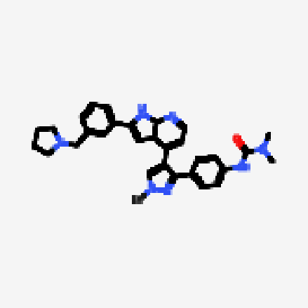 CCn1cc(C2=CC=NC3NC(c4cccc(CN5CCCC5)c4)=CC23)c(-c2ccc(NC(=O)N(C)C)cc2)n1